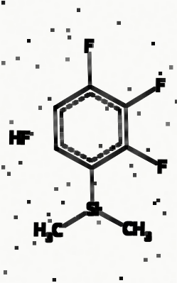 C[Si](C)c1ccc(F)c(F)c1F.F